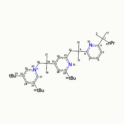 CCCC(C)(C)c1cccc(C(C)(C)Cc2cc(C(C)(C)C[n+]3cc(C(C)(C)C)cc(C(C)(C)C)c3)cc(C(C)(C)C)n2)n1